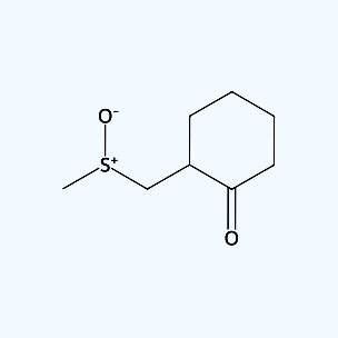 C[S+]([O-])CC1CCCCC1=O